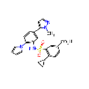 Cn1nccc1-c1ccc(-n2cccc2)c(NS(=O)(=O)c2cc(C(=O)O)ccc2C2CC2)c1